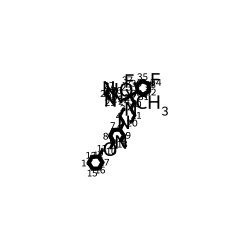 C[C@@H](N1CCN(c2ccc(OCc3ccccc3)nc2)CC1)[C@](O)(Cn1cncn1)c1ccc(F)cc1F